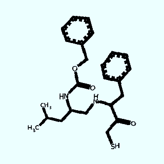 CC(C)CC(CNC(Cc1ccccc1)C(=O)CS)NC(=O)OCc1ccccc1